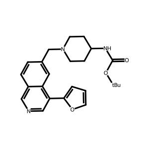 CC(C)(C)OC(=O)NC1CCN(Cc2ccc3cncc(-c4ccco4)c3c2)CC1